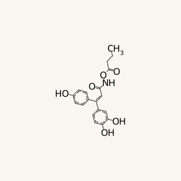 CCCC(=O)ONC(=O)/C=C(\c1ccc(O)cc1)c1ccc(O)c(O)c1